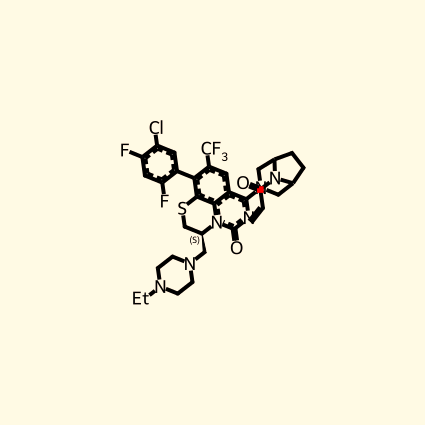 C=CC(=O)N1C2CCC1CN(c1nc(=O)n3c4c(c(-c5cc(Cl)c(F)cc5F)c(C(F)(F)F)cc14)SC[C@@H]3CN1CCN(CC)CC1)C2